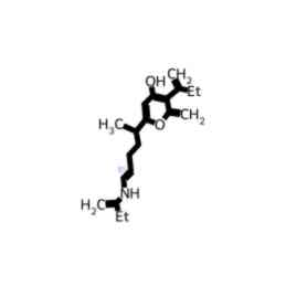 C=C(CC)N/C=C/CCC(C)C1=CC(O)=C(C(=C)CC)C(=C)O1